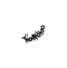 Cc1c(NC(=O)c2cc3c(s2)CCCC3)cccc1-c1ccnc(Nc2ccc(C(=O)NCC(C)C)cc2)n1